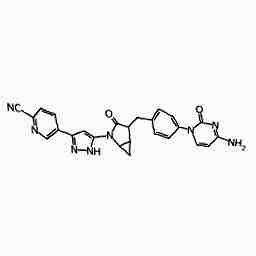 N#Cc1ccc(-c2cc(N3C(=O)C(Cc4ccc(-n5ccc(N)nc5=O)cc4)C4CC43)[nH]n2)cn1